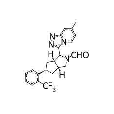 Cc1ccn2c(C3[C@H]4C[C@H](c5ccccc5C(F)(F)F)C[C@H]4CN3C=O)nnc2c1